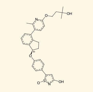 Cc1nc(OCCC(C)(C)O)ccc1-c1cccc2c1CC[C@H]2Oc1ccc(-c2cc(O)n[s+]2[O-])cc1